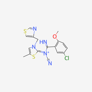 COc1ccc(Cl)cc1C(=N)/[N+](C#N)=c1/sc(C)cn1Cc1cscn1